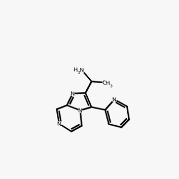 CC(N)c1nc2cnccn2c1-c1ccccn1